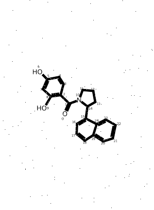 O=C(c1ccc(O)cc1O)N1CCCC1c1cccc2ccccc12